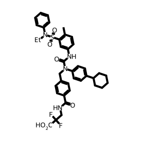 CCN(c1ccccc1)S(=O)(=O)c1cc(NC(=O)N(Cc2ccc(C(=O)NCC(F)(F)C(=O)O)cc2)c2ccc(C3CCCCC3)cc2)ccc1C